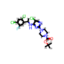 CC(Nc1nc(N2CCN(C(=O)OC(C)(C)C)CC2)ncc1Cl)c1cc(F)c(Cl)cc1Cl